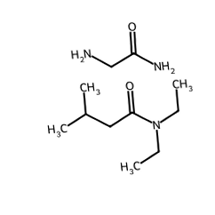 CCN(CC)C(=O)CC(C)C.NCC(N)=O